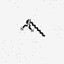 CCCCCCCCCCCC1=NC=C[N+]1(CCC#N)CCC#N